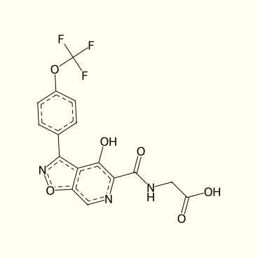 O=C(O)CNC(=O)c1ncc2onc(-c3ccc(OC(F)(F)F)cc3)c2c1O